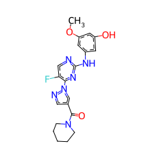 COc1cc(O)cc(Nc2ncc(F)c(-n3cc(C(=O)N4CCCCC4)cn3)n2)c1